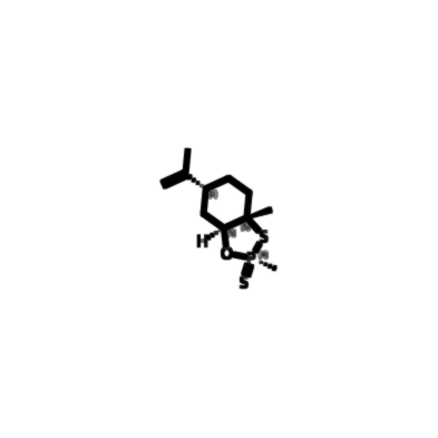 C=C(C)[C@@H]1CC[C@]2(C)S[P@@](C)(=S)O[C@H]2C1